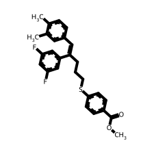 COC(=O)c1ccc(SCCCC(=Cc2ccc(C)c(C)c2)c2cc(F)cc(F)c2)cc1